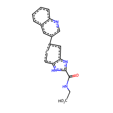 O=C(O)CNC(=O)c1nc2cc(-c3cnc4ccccc4c3)ccc2[nH]1